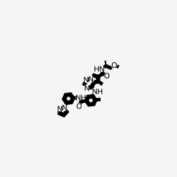 COC[C@H](C)NC(=O)c1cn2ncnc(Nc3cc(C(=O)Nc4cccc(-n5cccn5)c4)ccc3C)c2c1C